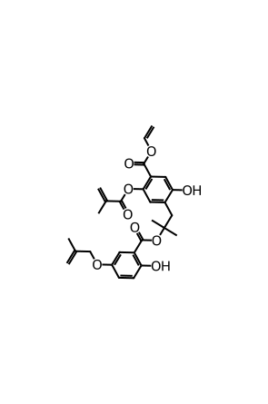 C=COC(=O)c1cc(O)c(CC(C)(C)OC(=O)c2cc(OCC(=C)C)ccc2O)cc1OC(=O)C(=C)C